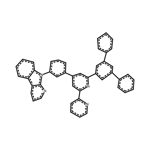 c1ccc(-c2cc(-c3ccccc3)cc(-c3cc(-c4cccc(-n5c6ccccc6c6cccnc65)c4)cc(-c4ccccn4)n3)c2)cc1